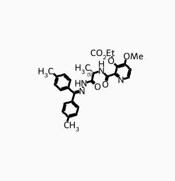 CCOC(=O)Oc1c(OC)ccnc1C(=O)N[C@@H](C)C(=O)NN=C(c1ccc(C)cc1)c1ccc(C)cc1